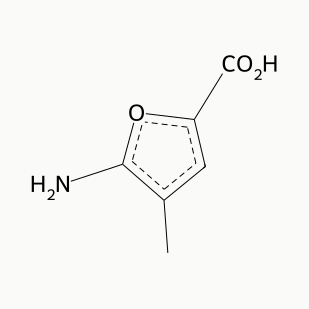 Cc1cc(C(=O)O)oc1N